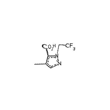 Cc1cnn(CC(F)(F)F)c1C(=O)O